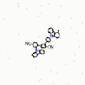 CC1CCCc2c1c1ccccc1n2-c1ccc(-c2cc(-c3ccc(C#N)cc3-n3c4ccccc4c4ccccc43)ccc2C#N)cc1